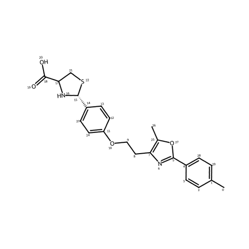 Cc1ccc(-c2nc(CCOc3ccc([C@@H]4NC(C(=O)O)CS4)cc3)c(C)o2)cc1